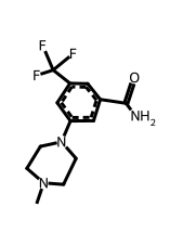 CN1CCN(c2cc(C(N)=O)cc(C(F)(F)F)c2)CC1